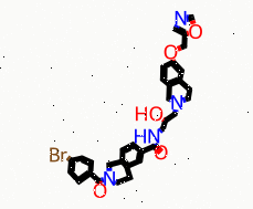 O=C(NCC(O)CN1CCc2cc(OCc3cnco3)ccc2C1)c1ccc2c(c1)CCN(C(=O)c1ccc(Br)cc1)C2